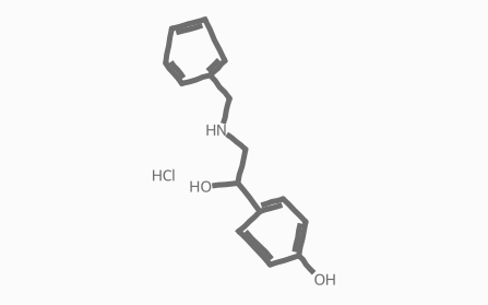 Cl.Oc1ccc(C(O)CNCc2ccccc2)cc1